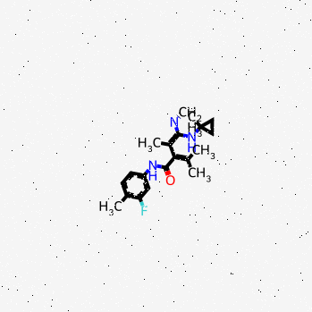 C=N/C(NC1(C)CC1)=C(\C)C(C(=O)Nc1ccc(C)c(F)c1)=C(C)C